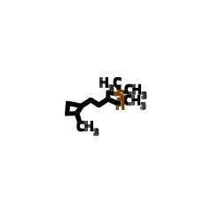 CC1CCC1CCC1C[SH](C)(C)(C)C1